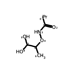 CC(C)C(=O)NOC(C)C(O)O